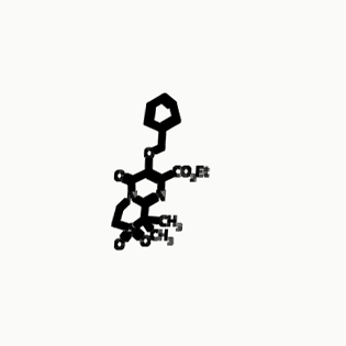 CCOC(=O)c1nc2n(c(=O)c1OCc1ccccc1)CCS(=O)(=O)C2(C)C